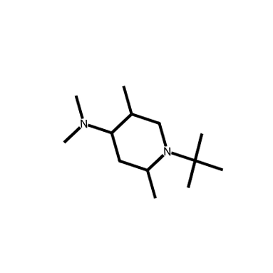 CC1CN(C(C)(C)C)C(C)CC1N(C)C